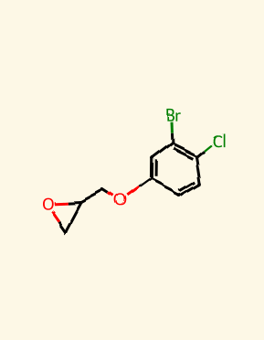 Clc1ccc(OCC2CO2)cc1Br